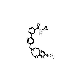 O=C(NC1CC1)c1cccc(-c2ccc(CN3CCOc4nc([N+](=O)[O-])cn4CC3)cc2)c1